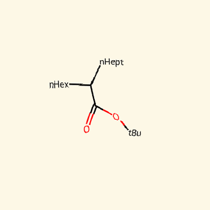 CCCCCCCC(CCCCCC)C(=O)OC(C)(C)C